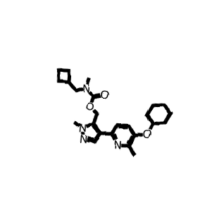 Cc1nc(-c2cnn(C)c2COC(=O)N(C)CC2CCC2)ccc1OC1CCCCC1